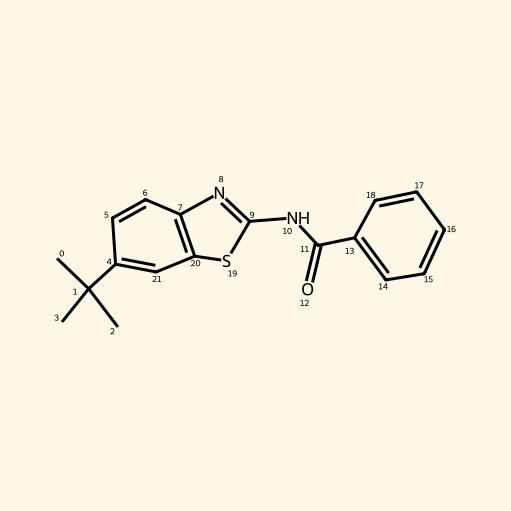 CC(C)(C)c1ccc2nc(NC(=O)c3ccccc3)sc2c1